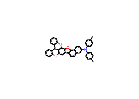 Cc1ccc(N(c2ccc(C)cc2)c2ccc3c(ccc4c5cc6c7c(c5oc34)Oc3ccccc3B7c3ccccc3O6)c2)cc1